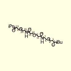 CCC(C)C(=O)CCOCCNC(=O)CCOCCC(=O)NCCOCCC(=O)C(C)C